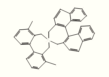 Cc1cccc2c1C[N+]1(Cc3ccc4ccccc4c3-c3c(ccc4ccccc34)C1)Cc1c(C)cccc1-2